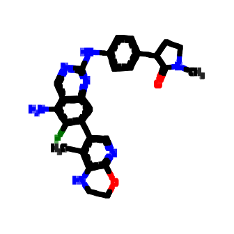 Cc1c(-c2cc3nc(Nc4ccc(C5CCN(C)C5=O)cc4)ncc3c(N)c2F)cnc2c1NCCO2